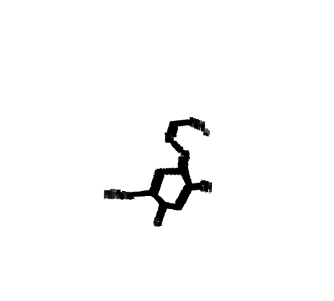 CCCCCCC1=C/C(=N\N=C/N)C(O)=CC1=O